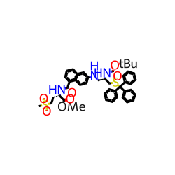 COC(=O)[C@H](CCS(C)(=O)=O)NC(=O)c1cccc2cc(NC[C@H](CSC(c3ccccc3)(c3ccccc3)c3ccccc3)NC(=O)OC(C)(C)C)ccc12